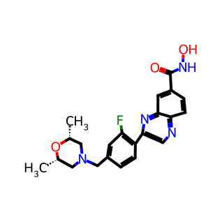 C[C@@H]1CN(Cc2ccc(-c3cnc4ccc(C(=O)NO)cc4n3)c(F)c2)C[C@H](C)O1